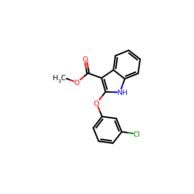 COC(=O)c1c(Oc2cccc(Cl)c2)[nH]c2ccccc12